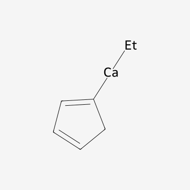 C[CH2][Ca][C]1=CC=CC1